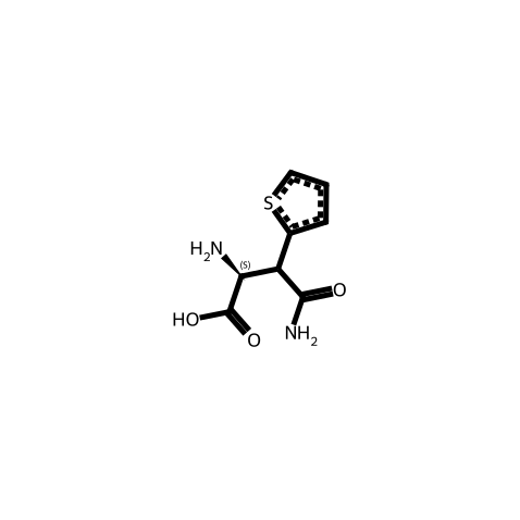 NC(=O)C(c1cccs1)[C@H](N)C(=O)O